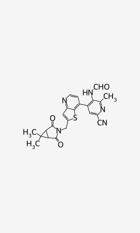 Cc1nc(C#N)cc(-c2ccnc3cc(CN4C(=O)C5C(C4=O)C5(C)C)sc23)c1NC=O